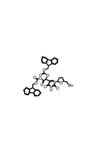 CCC(C)CC1CCC(n2cc(C(OC(=O)OCC3c4ccccc4-c4ccccc43)C(=O)OC(=O)OCC3c4ccccc4-c4ccccc43)c(=O)[nH]c2=O)O1